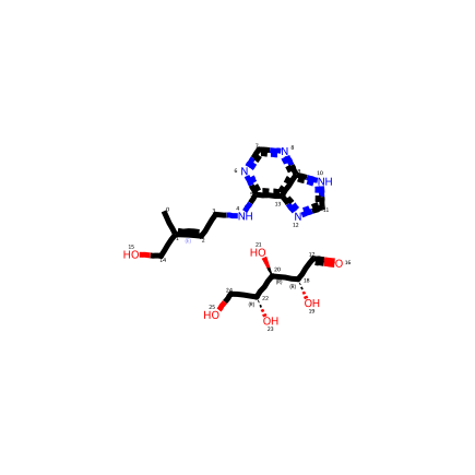 C/C(=C\CNc1ncnc2[nH]cnc12)CO.O=C[C@H](O)[C@H](O)[C@H](O)CO